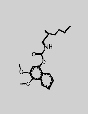 CCCCC(C)CNC(=O)Oc1cc(OC)c(OC)c2ccccc12